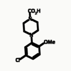 COc1ccc(Cl)cc1N1CCN(C(=O)O)CC1